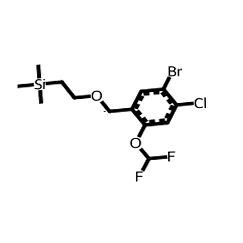 C[Si](C)(C)CCO[CH]c1cc(Br)c(Cl)cc1OC(F)F